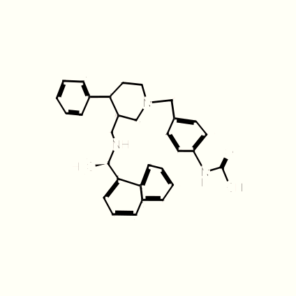 CC(=O)Nc1ccc(CN2CCC(c3ccccc3)C(CN[C@H](C)c3cccc4ccccc34)C2)cc1